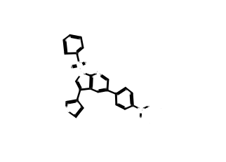 CN(C)c1ccc(-c2cnc3c(c2)c(-c2ccsc2)cn3S(=O)(=O)c2ccccc2)cc1